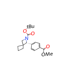 COC(=O)c1ccc([C@H]2N(C(=O)OC(C)(C)C)CC23CCC3)cc1